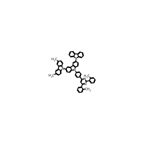 Cc1ccc2c(c1)c1cc(C)ccc1n2-c1ccc2c(c1)c1cc(-n3c4ccccc4c4ccccc43)ccc1n2-c1ccc(-c2cc(-c3ccccc3C)nc(-c3ccccc3C)n2)cc1